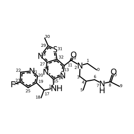 CCN(CC(C)CNC(C)=O)C(=O)c1nc(NC(C)c2cncc(F)c2)nc2nc(C)sc12